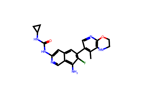 Cc1c(-c2cc3cc(NC(=O)NC4CC4)ncc3c(N)c2F)cnc2c1NCCO2